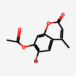 CC(=O)Oc1cc2oc(=O)cc(C)c2cc1Br